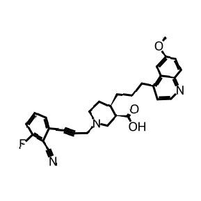 COc1ccc2nccc(CCC[C@@H]3CCN(CC#Cc4cccc(F)c4C#N)C[C@@H]3C(=O)O)c2c1